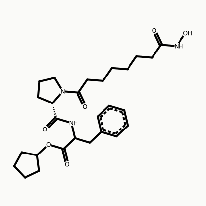 O=C(CCCCCCC(=O)N1CCC[C@H]1C(=O)NC(Cc1ccccc1)C(=O)OC1CCCC1)NO